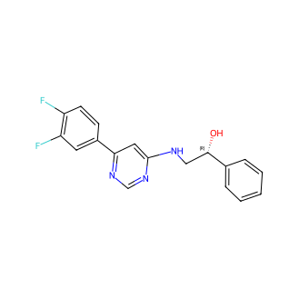 O[C@@H](CNc1cc(-c2ccc(F)c(F)c2)ncn1)c1ccccc1